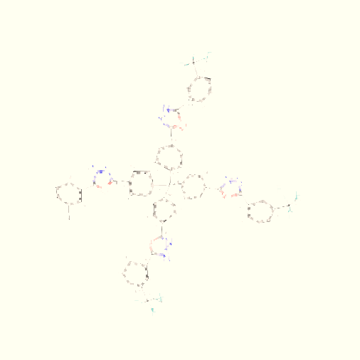 Cc1cccc(-c2nnc(-c3ccc(C(c4ccc(-c5nnc(-c6cccc(C(F)(F)F)c6)o5)cc4)(c4ccc(-c5nnc(-c6cccc(C(F)(F)F)c6)o5)cc4)c4ccc(-c5nnc(-c6cccc(C(F)(F)F)c6)o5)cc4)cc3)o2)c1